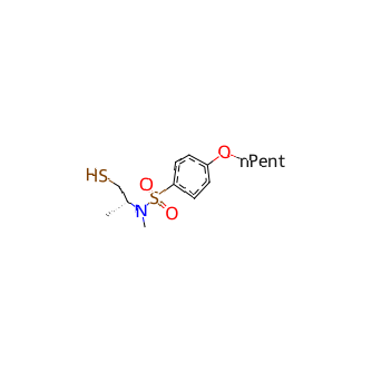 CCCCCOc1ccc(S(=O)(=O)N(C)[C@H](C)CS)cc1